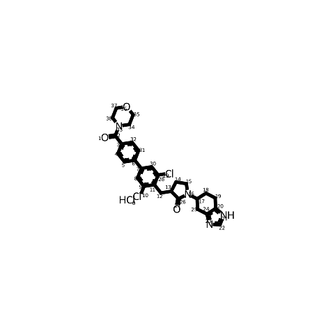 Cl.O=C(c1ccc(-c2cc(Cl)c(CC3CCN(C4CCc5[nH]cnc5C4)C3=O)c(Cl)c2)cc1)N1CCOCC1